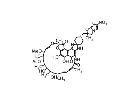 CO[C@H]1/C=C/O[C@@]2(C)Oc3c(C)c(O)c4c(c3C2=O)C2=NC3(CCN(CC5(C)Cn6cc([N+](=O)[O-])nc6O5)CC3)NC2=C(NC(=O)/C(C)=C\C=C\[C@H](C)[C@H](O)[C@@H](C)[C@@H](O)[C@@H](C)[C@H](OC(C)=O)[C@@H]1C)C4=O